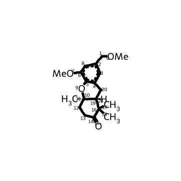 COCc1cc2c(c(OC)c1)O[C@]1(C)CCC(=O)C(C)(C)[C@H]1C2